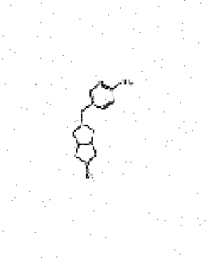 CCN1CC2CN(Cc3ccc(N)nc3)CC2C1